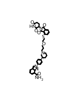 NC(=O)c1cccc2cn(-c3ccc([C@@H]4CCCN(CCCOCCSc5cccc6c5C(=O)N(C5CCC(=O)NC5=O)C6=O)C4)cc3)nc12